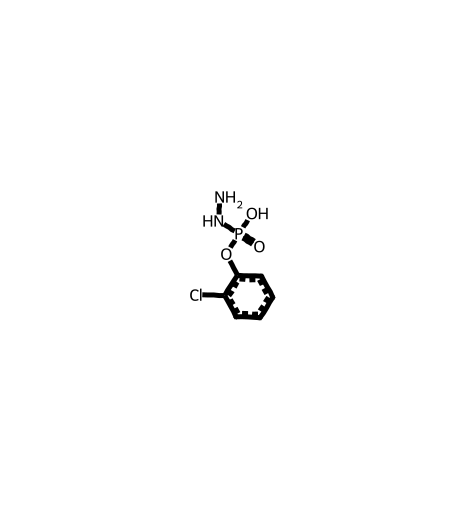 NNP(=O)(O)Oc1ccccc1Cl